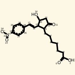 O=C(O)CCCCCCC1C(=O)CC(O)C1C=Cc1ccc([N+](=O)[O-])cc1